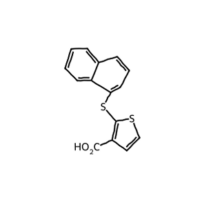 O=C(O)c1ccsc1Sc1cccc2ccccc12